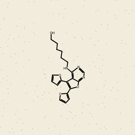 OCCCCCCNc1ncnc2oc(-c3ccco3)c(-c3ccco3)c12